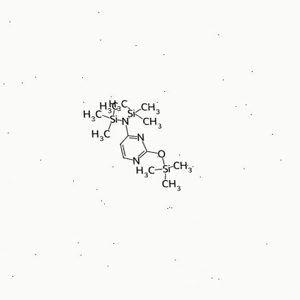 C[Si](C)(C)Oc1nccc(N([Si](C)(C)C)[Si](C)(C)C)n1